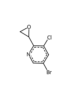 Clc1cc(Br)cnc1C1CO1